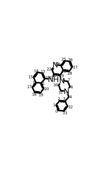 c1ccc(CN2CCN(c3c(Nc4cccc5ccccc45)cnc4ccccc34)CC2)cc1